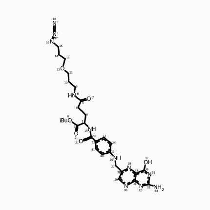 CC(C)COC(=O)C(CCC(=O)NCCCOCCCN=[N+]=[N-])NC(=O)c1ccc(NCc2cnc3nc(N)nc(O)c3n2)cc1